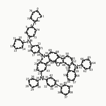 c1ccc(-c2ccc(N(c3ccccc3)c3ccc(-n4c5ccc(N(c6ccccc6)c6ccc(-c7ccccc7)cc6)cc5c5c6oc7c(ccc8c7c7ccccc7n8-c7ccccc7)c6ccc54)cc3)cc2)cc1